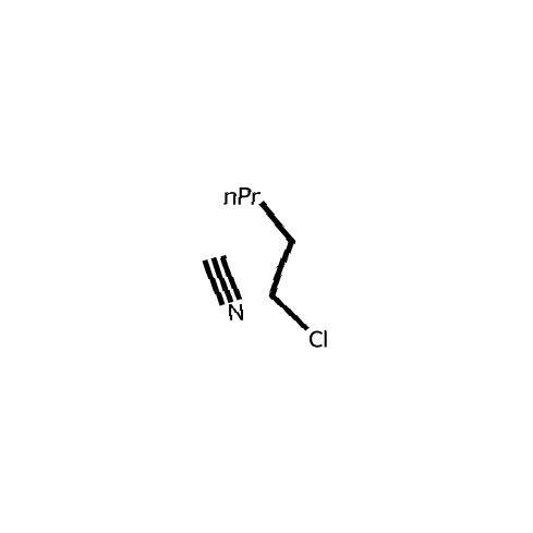 C#N.CCCCCCl